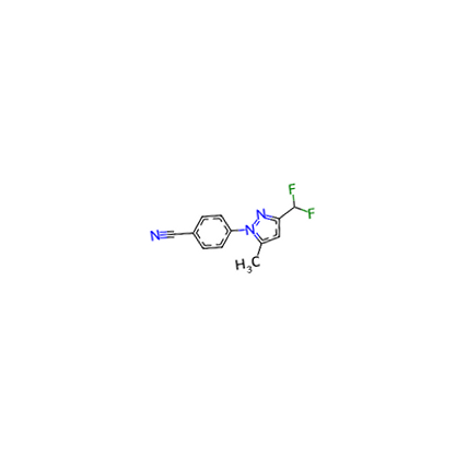 Cc1cc(C(F)F)nn1-c1ccc(C#N)cc1